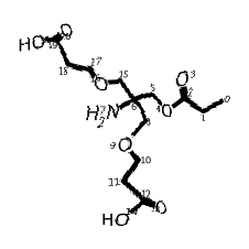 CCC(=O)OCC(N)(COCCC(=O)O)COCCC(=O)O